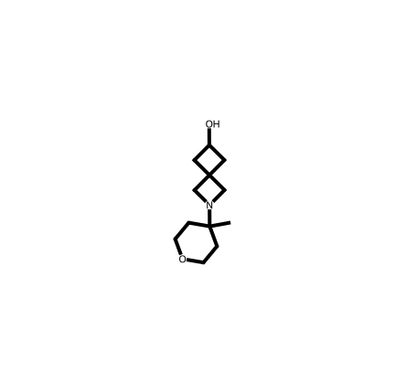 CC1(N2CC3(CC(O)C3)C2)CCOCC1